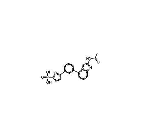 CC(=O)Nc1cn2c(-c3cccc(-c4ccc(P(=O)(O)O)o4)c3)cccc2n1